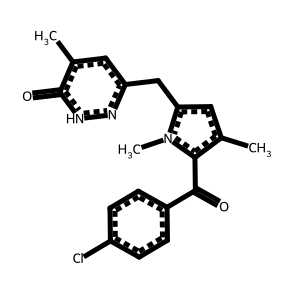 Cc1cc(Cc2cc(C)c(=O)[nH]n2)n(C)c1C(=O)c1ccc(Cl)cc1